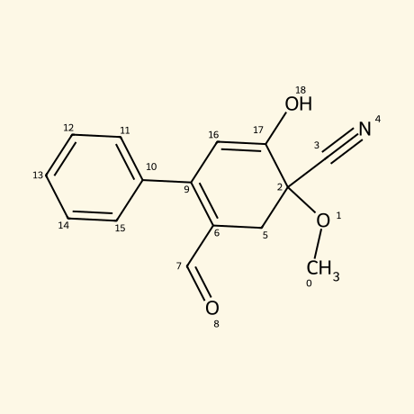 COC1(C#N)CC(C=O)=C(c2ccccc2)C=C1O